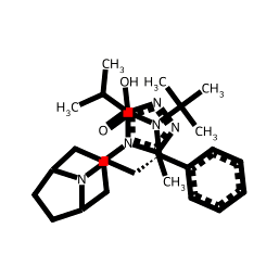 Cc1nnc(C(C)C)n1C1CC2CCC(C1)N2CC[C@@H](c1ccccc1)N(C(=O)O)C(C)(C)C